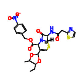 CCC1OC(C2=CS[C@H]3C(NC(=O)Cc4nccs4)C(=O)N3C2C(=O)OCc2ccc([N+](=O)[O-])cc2)OC1C